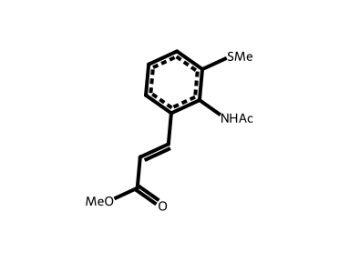 COC(=O)/C=C/c1cccc(SC)c1NC(C)=O